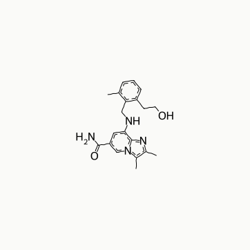 Cc1cccc(CCO)c1CNc1cc(C(N)=O)cn2c(C)c(C)nc12